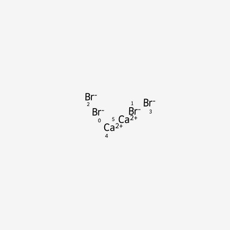 [Br-].[Br-].[Br-].[Br-].[Ca+2].[Ca+2]